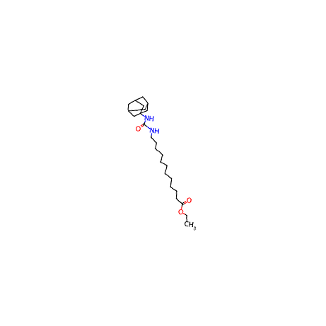 CCOC(=O)CCCCCCCCCCCNC(=O)NC12CC3CC(CC(C3)C1)C2